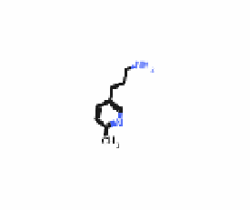 Cc1ccc(CCCN)cn1